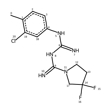 Cc1ccc(NC(=N)NC(=N)N2CCC(F)(F)C2)cc1Cl